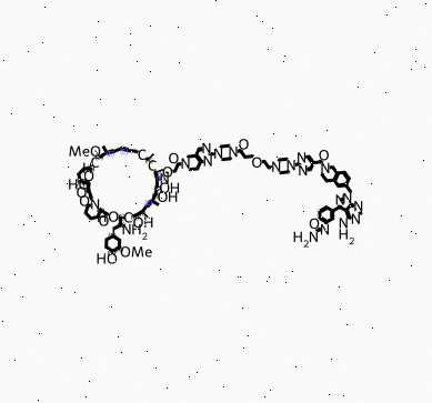 CO[C@H]1C[C@@H]2CC[C@@H](C)[C@@](O)(O2)C(=O)C(=O)N2CCCC[C@H]2C(=O)O[C@H]([C@H](N)C[C@@H]2CC[C@@H](O)[C@H](OC)C2)C[C@@H](O)[C@H](C)/C=C(\C)[C@@H](O)[C@@H](O)/C(=N/OCC(=O)N2CCc3nc(N4CCN(C(=O)CCOCCN5CCN(c6ncc(C(=O)N7CCc8cc(Cn9nc(-c%10ccc%11oc(N)nc%11c%10)c%10c(N)ncnc%109)ccc8C7)cn6)CC5)CC4)ncc3C2)[C@H](C)C[C@H](C)CC/C=C/C=C/1C